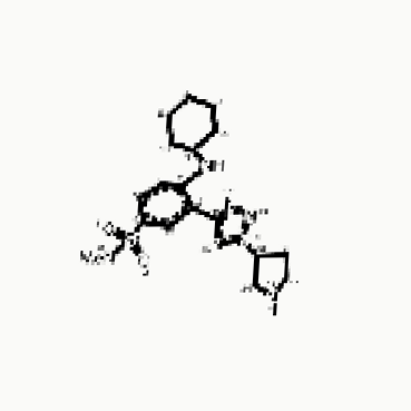 CNS(=O)(=O)c1ccc(NC2CCCCC2)c(-c2nnn(C3CCNC3)n2)c1